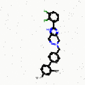 COc1ccc(-c2ccc(CN3Cc4nc(-c5cccc(F)c5F)[nH]c4C=N3)cc2)c(C(F)(F)F)c1